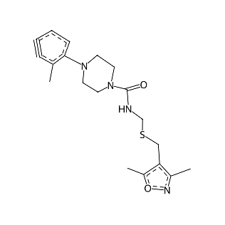 Cc1c#cccc1N1CCN(C(=O)NCSCc2c(C)noc2C)CC1